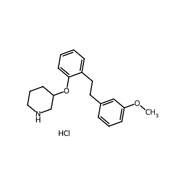 COc1cccc(CCc2ccccc2OC2CCCNC2)c1.Cl